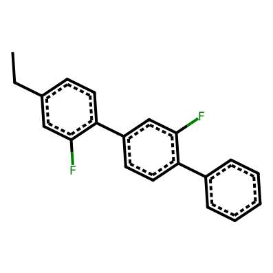 CCc1ccc(-c2ccc(-c3ccccc3)c(F)c2)c(F)c1